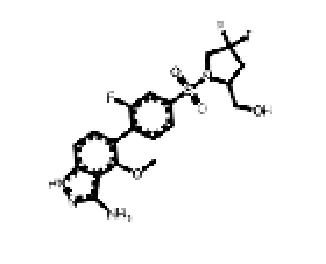 COc1c(-c2ccc(S(=O)(=O)N3CC(F)(F)CC3CO)cc2F)ccc2[nH]nc(N)c12